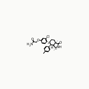 Cc1ccc([C@@H]2[C@@H]3[C@@H](C)NC(=O)[C@]3(C)CC[C@H]2c2ccc(OCC(N)=O)cc2Cl)cc1